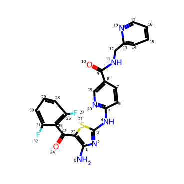 Nc1nc(Nc2ccc(C(=O)NCc3ccccn3)cn2)sc1C(=O)c1c(F)cccc1F